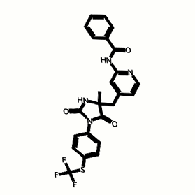 CC1(Cc2ccnc(NC(=O)c3ccccc3)c2)NC(=O)N(c2ccc(SC(F)(F)F)cc2)C1=O